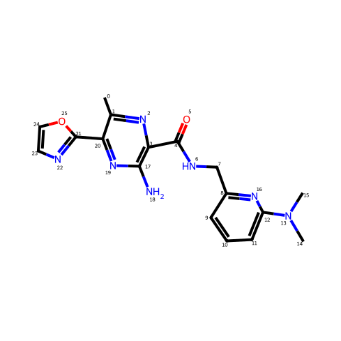 Cc1nc(C(=O)NCc2cccc(N(C)C)n2)c(N)nc1-c1ncco1